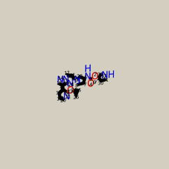 C[C@@]1(OC(=O)N[C@H]2CCN(c3ccn4ncc(-c5cccnc5OC5CC5)c4n3)C2)CCNC1